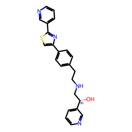 O[C@@H](CNCCc1ccc(-c2csc(-c3cccnc3)n2)cc1)c1cccnc1